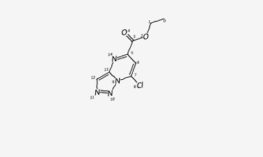 CCOC(=O)c1cc(Cl)n2nncc2n1